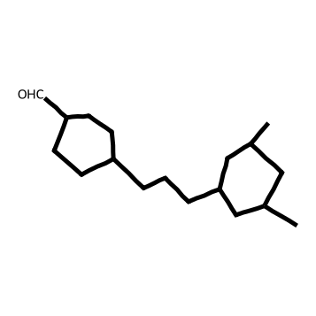 CC1CC(C)CC(CCCC2CCC(C=O)CC2)C1